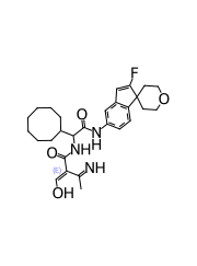 CC(=N)/C(=C\O)C(=O)NC(C(=O)Nc1ccc2c(c1)C=C(F)C21CCOCC1)C1CCCCCCC1